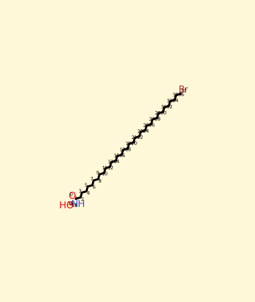 O=C(CCCCCCCCCCCCCCCCCCCCCCCCCCCCCCCCCCCBr)NO